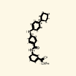 COC(=O)c1cccc(NC(=O)c2ccc(Nc3ccc(C4CCCCC4)cc3)cc2)c1